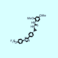 COc1ccc(NC(=S)NC2C[C@@H]2c2ccc(-c3ncn(-c4ccc(OC(F)(F)F)cc4)n3)cc2)c(OC)c1